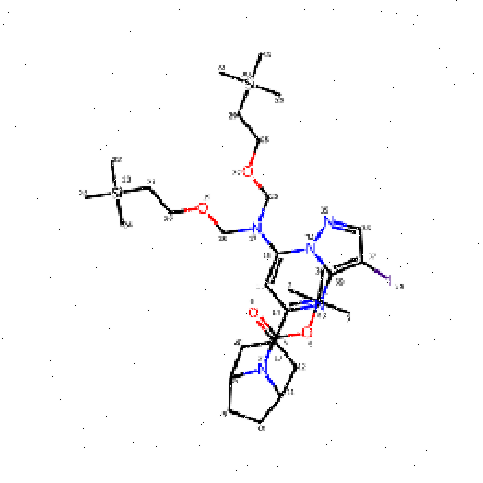 CC(C)(C)OC(=O)N1C2CCC1CC(c1cc(N(COCC[Si](C)(C)C)COCC[Si](C)(C)C)n3ncc(I)c3n1)C2